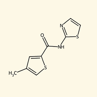 Cc1csc(C(=O)Nc2nccs2)c1